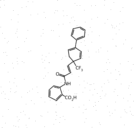 O=C(/C=C/C1(C(F)(F)F)C=CC(c2ccccc2)=CC1)Nc1ccccc1C(=O)O